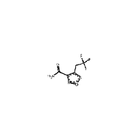 NC(=O)c1nonc1CC(F)(F)F